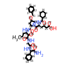 CCCC(NC(=O)[C@@H]1C[C@@H](OCc2ccccc2)CN1C(=O)[C@H](CCCC(=O)O)NC(=O)C1CCCCC1)C(=O)C(=O)NCC(=O)N[C@H](C(N)=O)c1ccccc1